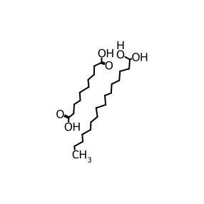 CCCCCCCCCCCCCCCC(O)O.O=C(O)CCCCCCCCC(=O)O